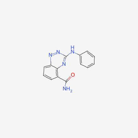 NC(=O)c1cccc2nnc(Nc3ccccc3)nc12